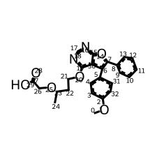 COc1ccc(-c2c(-c3ccccc3)oc3ncnc(OCCC(C)OCC(=O)O)c23)cc1